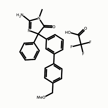 COCc1ccc(-c2cccc(C3(c4ccccc4)N=C(N)N(C)C3=O)c2)cc1.O=C(O)C(F)(F)F